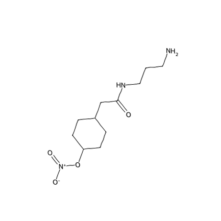 NCCCNC(=O)CC1CCC(O[N+](=O)[O-])CC1